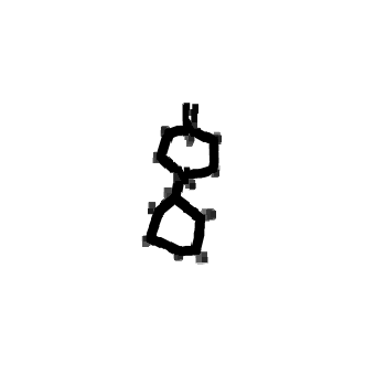 [CH]1CCC(N2CCNCC2)CC1